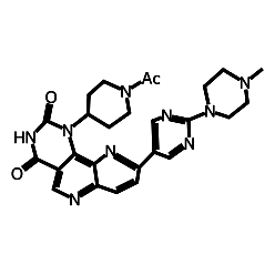 CC(=O)N1CCC(n2c(=O)[nH]c(=O)c3cnc4ccc(-c5cnc(N6CCN(C)CC6)nc5)nc4c32)CC1